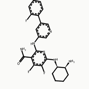 NC(=O)c1c(Nc2cncc(-c3ccccc3F)c2)nc(N[C@@H]2CCCC[C@@H]2N)c(F)c1F